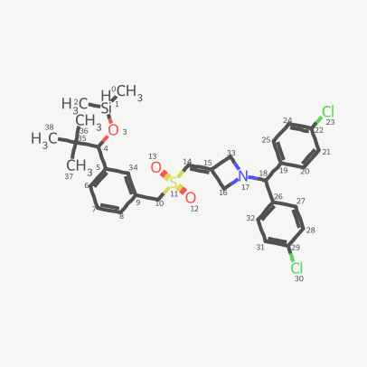 C[SiH](C)OC(c1cccc(CS(=O)(=O)C=C2CN(C(c3ccc(Cl)cc3)c3ccc(Cl)cc3)C2)c1)C(C)(C)C